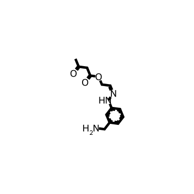 CC(=O)CC(=O)OC/C=N\Nc1cccc(CN)c1